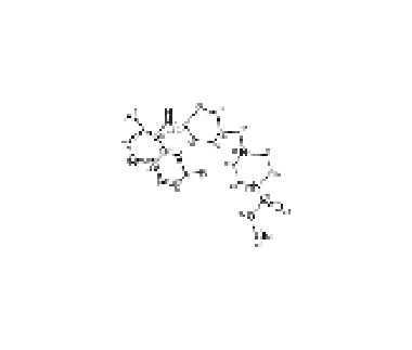 CC(=O)c1cnc2ccc(Br)cc2c1N[C@H]1CC[C@H](CN2CCN(C(=O)OC(C)(C)C)CC2)CC1